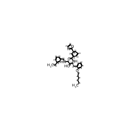 CCCCCCOc1ccccc1C[C@H](NC(=O)c1cccc(-c2ncco2)c1)[C@@H](O)CNCc1cccc(CC)c1